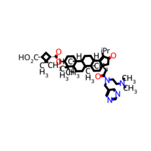 CC(C)C1=C2[C@H]3CC[C@@H]4[C@@]5(C)CC[C@H](OC(=O)[C@H]6C[C@@H](C(=O)O)C6(C)C)C(C)(C)[C@@H]5CC[C@@]4(C)[C@]3(C)CC[C@@]2(CC(=O)N(CCN(C)C)Cc2cncnc2)CC1=O